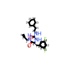 C#CCNC(=O)[C@H](Cc1cc(F)cc(F)c1)NC(=O)NCCC1CCCCC1